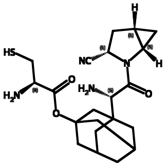 N#C[C@@H]1C[C@@H]2C[C@@H]2N1C(=O)[C@@H](N)C12CC3CC(CC(OC(=O)[C@@H](N)CS)(C3)C1)C2